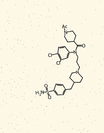 CC(=O)N1CCC(C(=O)N(CCCN2CCC(Cc3ccc(S(N)(=O)=O)cc3)CC2)c2ccc(Cl)c(Cl)c2)CC1